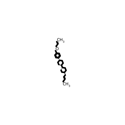 CC=CCOCc1ccc([C@H]2CC[C@H]([C@H]3CC[C@H](CC=CCC)CC3)CC2)cc1